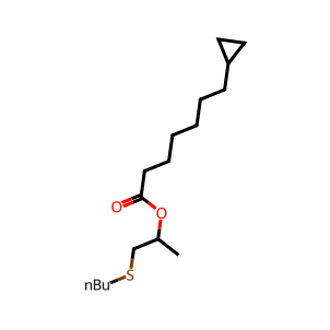 CCCCSCC(C)OC(=O)CCCCCCC1CC1